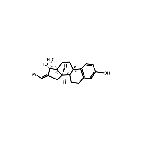 CC(C)C=C1C[C@H]2[C@@H]3CCc4cc(O)ccc4[C@H]3CC[C@]2(C)[C@H]1O